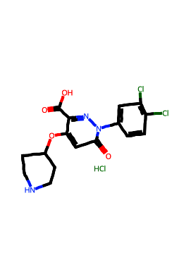 Cl.O=C(O)c1nn(-c2ccc(Cl)c(Cl)c2)c(=O)cc1OC1CCNCC1